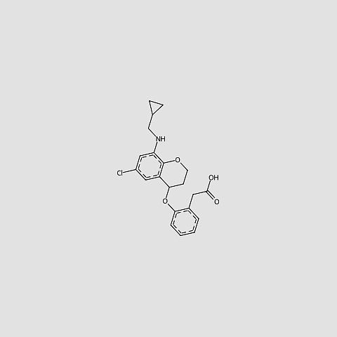 O=C(O)Cc1ccccc1OC1CCOc2c(NCC3CC3)cc(Cl)cc21